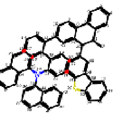 CC1c2ccccc2-c2ccc(-c3ccccc3-c3ccccc3N(c3cccc4ccccc34)c3cccc4ccccc34)cc2C1c1ccc2sc3ccccc3c2c1